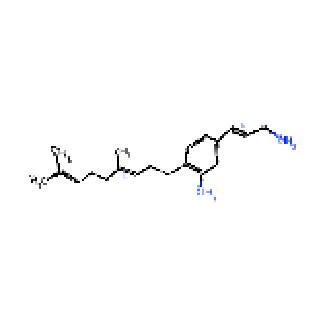 CC(C)=CCC/C(C)=C/CCc1ccc(/C=C/CN)cc1N